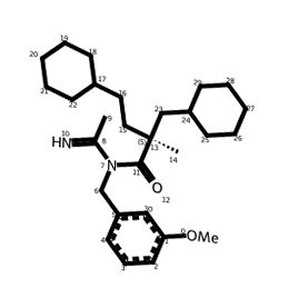 COc1cccc(CN(C(C)=N)C(=O)[C@@](C)(CCC2CCCCC2)CC2CCCCC2)c1